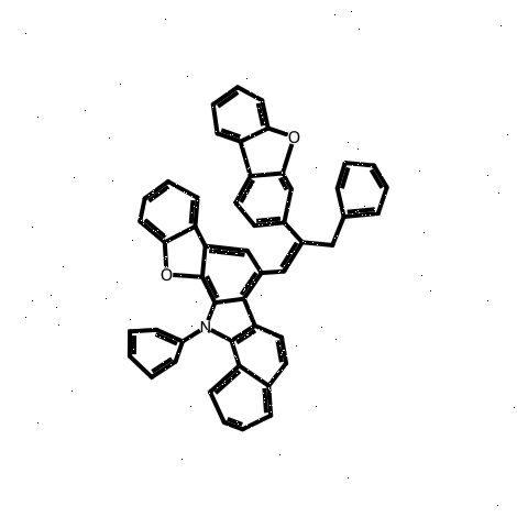 C(=C(\Cc1ccccc1)c1ccc2c(c1)oc1ccccc12)/c1cc2c3ccccc3oc2c2c1c1ccc3ccccc3c1n2-c1ccccc1